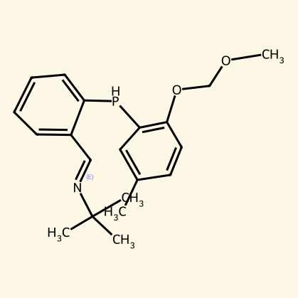 COCOc1ccc(C)cc1Pc1ccccc1/C=N/C(C)(C)C